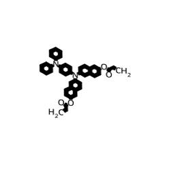 C=CC(=O)Oc1ccc2cc(N(c3ccc(N(c4ccccc4)c4ccccc4)cc3)c3ccc4cc(OC(=O)C=C)ccc4c3)ccc2c1